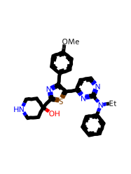 CCN(c1ccccc1)c1nccc(-c2sc(C3(O)CCNCC3)nc2-c2ccc(OC)cc2)n1